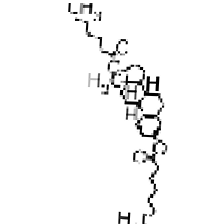 CCCCCCC(=O)Oc1ccc2c(c1)CC[C@@H]1[C@@H]2CC[C@]2(C)[C@@H](OC(=O)CCCCCC)CC[C@@H]12